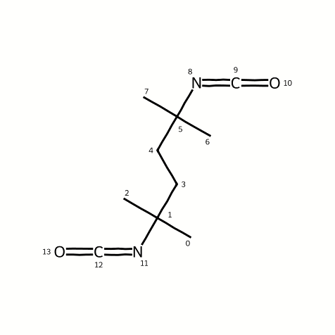 CC(C)(CCC(C)(C)N=C=O)N=C=O